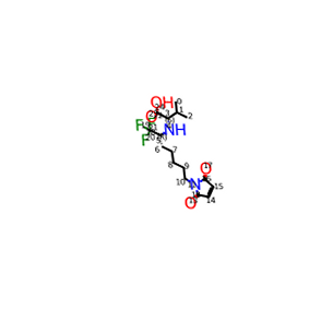 CC(C)[C@H](N[C@H](CCCCCN1C(=O)C=CC1=O)C(F)(F)F)C(=O)O